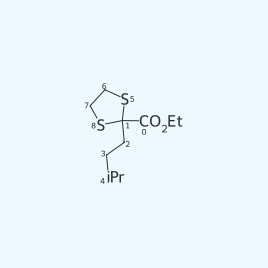 CCOC(=O)C1(CCC(C)C)SCCS1